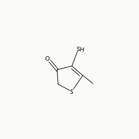 CC1=C(S)C(=O)CS1